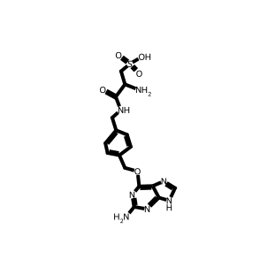 Nc1nc(OCc2ccc(CNC(=O)C(N)CS(=O)(=O)O)cc2)c2nc[nH]c2n1